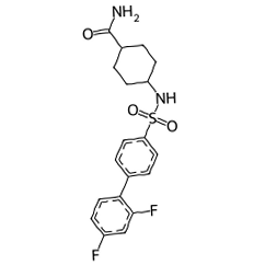 NC(=O)C1CCC(NS(=O)(=O)c2ccc(-c3ccc(F)cc3F)cc2)CC1